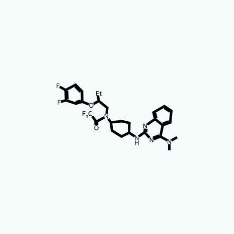 CCC(CN(C(=O)C(F)(F)F)C1CCC(Nc2nc(N(C)C)c3ccccc3n2)CC1)Oc1ccc(F)c(F)c1